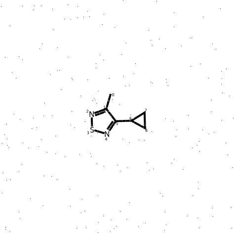 Cc1nsnc1C1CC1